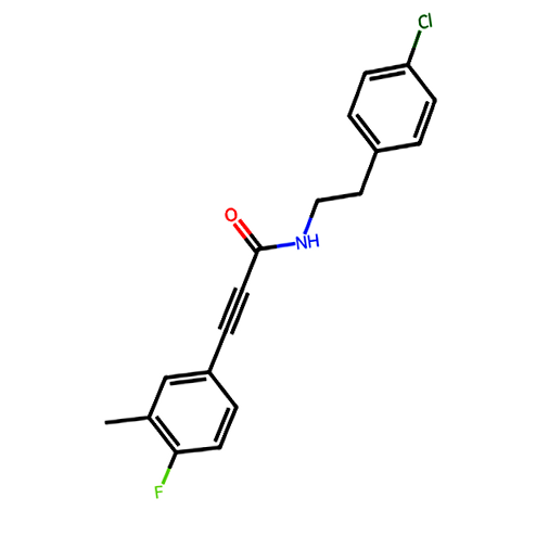 Cc1cc(C#CC(=O)NCCc2ccc(Cl)cc2)ccc1F